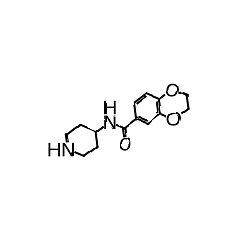 O=C(NC1CCNCC1)c1ccc2c(c1)OCCO2